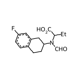 CCC(C(=O)O)N(C=O)C1CCc2ccc(F)cc2C1